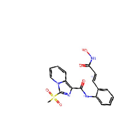 CS(=O)(=O)c1nc(C(=O)Nc2ccccc2/C=C/C(=O)NO)c2ccccn12